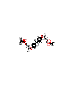 C=C(C)C(=O)OCCCC(C)Oc1ccc(C(C)(C)c2ccc(OC(C)CCCOC(=O)C(=C)C)cc2)cc1